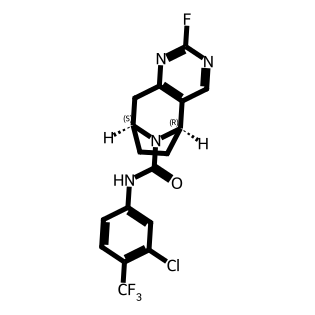 O=C(Nc1ccc(C(F)(F)F)c(Cl)c1)N1[C@H]2CC[C@@H]1c1cnc(F)nc1C2